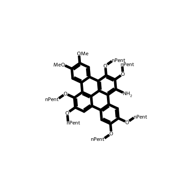 CCCCCOc1cc2c(cc1OCCCCC)c1c(N)c(OCCCCC)c(OCCCCC)c3c4cc(OC)c(OC)cc4c4c(OCCCCC)c(OCCCCC)cc2c4c13